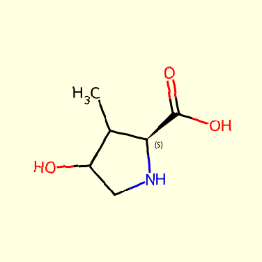 CC1C(O)CN[C@@H]1C(=O)O